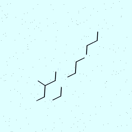 NCC(=O)O.OCC(O)CO.OCCSCCO